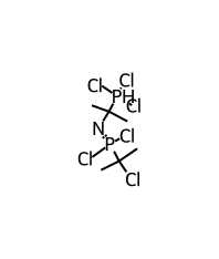 CC(C)(Cl)P(Cl)(Cl)=NC(C)(C)[PH](Cl)(Cl)Cl